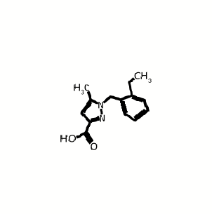 CCc1ccccc1Cn1nc(C(=O)O)cc1C